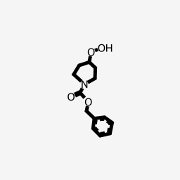 O=C(OCc1ccccc1)N1CCC(OO)CC1